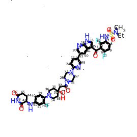 CCN(C)S(=O)(=O)Nc1ccc(F)c(C(=O)c2c[nH]c3ncc(-c4ccc(N5CCN(C(=O)CC6(O)CCN(c7ccc(NC8CCC(=O)NC8=O)cc7F)CC6)CC5)nc4)cc23)c1F